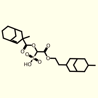 CC1CC2CC(CCOC(=O)C(OC(=O)C3(C)C=C4CCCC(C4)C3)S(=O)(=O)O)CC(C1)C2